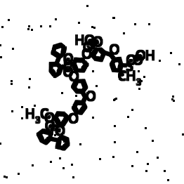 COc1ccc(Oc2ccc(C(=O)c3ccc(Oc4ccc(Oc5ccc(C(=O)c6ccc(C)c(SOOO)c6)cc5S(=O)(=O)O)cc4P4(=O)Oc5ccccc5-c5ccccc54)cc3)cc2)cc1P1(=O)Oc2ccccc2-c2ccccc21